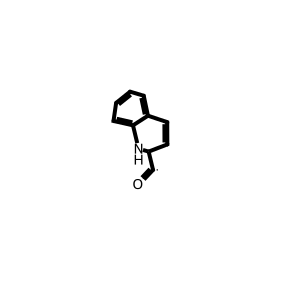 O=[C]C1C=Cc2ccccc2N1